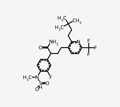 CN(c1ccc(C(CCc2ccc(C(F)(F)F)nc2CCC(C)(C)C)C(N)=O)cc1F)[SH](=O)=O